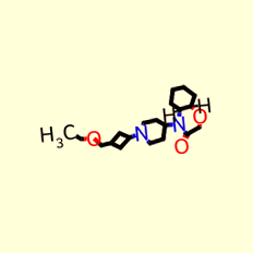 CCOCC1CC(N2CCC(N3C(=O)CO[C@H]4CCCC[C@@H]43)CC2)C1